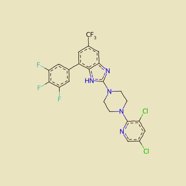 Fc1cc(-c2cc(C(F)(F)F)cc3nc(N4CCN(c5ncc(Cl)cc5Cl)CC4)[nH]c23)cc(F)c1F